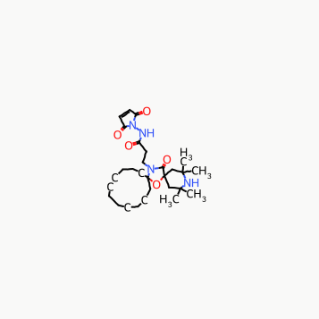 CC1(C)CC2(CC(C)(C)N1)OC1(CCCCCCCCCCC1)N(CCC(=O)NN1C(=O)C=CC1=O)C2=O